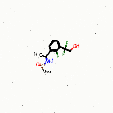 C[C@H](N[S@+]([O-])C(C)(C)C)c1cccc(C(F)(F)CO)c1F